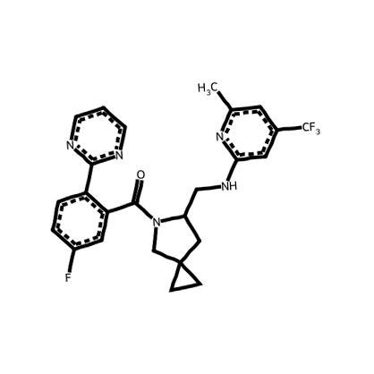 Cc1cc(C(F)(F)F)cc(NCC2CC3(CC3)CN2C(=O)c2cc(F)ccc2-c2ncccn2)n1